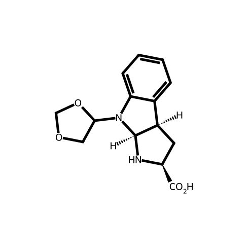 O=C(O)[C@@H]1C[C@@H]2c3ccccc3N(C3COCO3)[C@@H]2N1